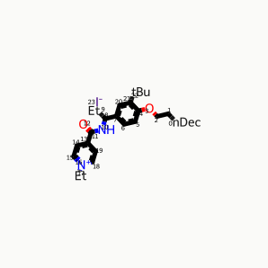 CCCCCCCCCCCCOc1ccc(C(CC)NC(=O)c2cc[n+](CC)cc2)cc1C(C)(C)C.[I-]